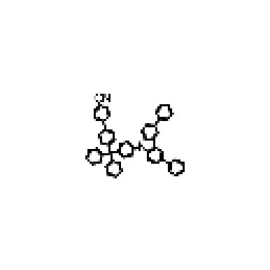 N#Cc1ccc(-c2ccc(C(c3ccccc3)(c3ccccc3)c3ccc(-n4c5ccc(-c6ccccc6)cc5c5cc(-c6ccccc6)ccc54)cc3)cc2)cc1